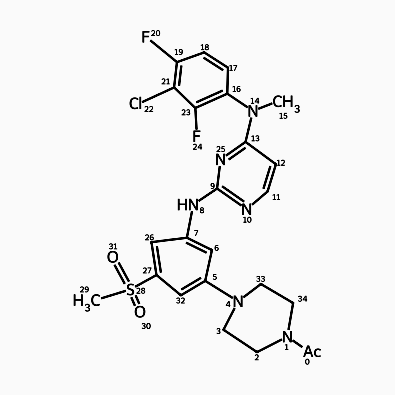 CC(=O)N1CCN(c2cc(Nc3nccc(N(C)c4ccc(F)c(Cl)c4F)n3)cc(S(C)(=O)=O)c2)CC1